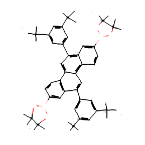 CC(C)(C)c1cc(-c2cc3c4ccc(B5OC(C)(C)C(C)(C)O5)cc4c(-c4cc(C(C)(C)C)cc(C(C)(C)C)c4)cc3c3ccc(B4OC(C)(C)C(C)(C)O4)cc23)cc(C(C)(C)C)c1